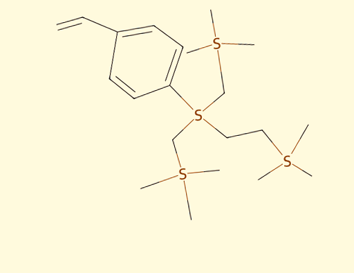 C=Cc1ccc(S(CCS(C)(C)C)(CS(C)(C)C)CS(C)(C)C)cc1